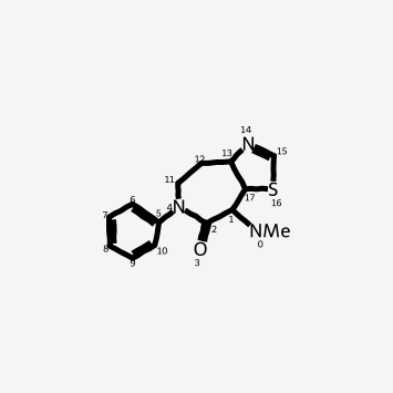 CNC1C(=O)N(c2ccccc2)CCC2N=CSC21